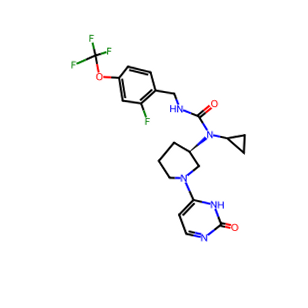 O=C(NCc1ccc(OC(F)(F)F)cc1F)N(C1CC1)[C@@H]1CCCN(c2ccnc(=O)[nH]2)C1